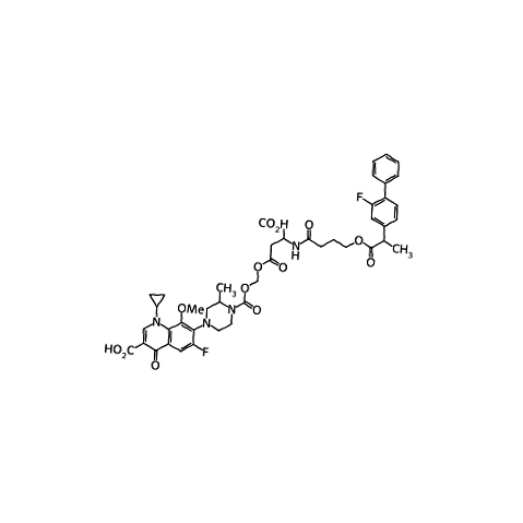 COc1c(N2CCN(C(=O)OCOC(=O)CC(NC(=O)CCCOC(=O)C(C)c3ccc(-c4ccccc4)c(F)c3)C(=O)O)C(C)C2)c(F)cc2c(=O)c(C(=O)O)cn(C3CC3)c12